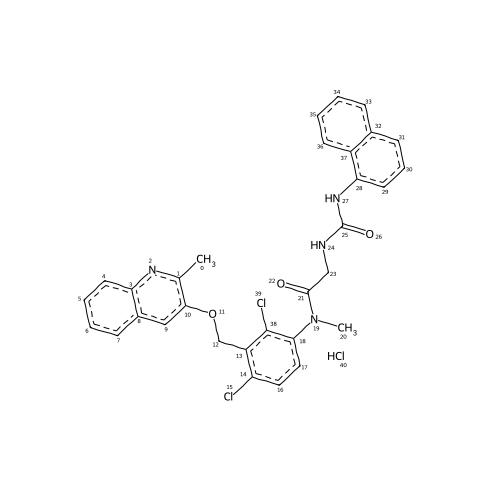 Cc1nc2ccccc2cc1OCc1c(Cl)ccc(N(C)C(=O)CNC(=O)Nc2cccc3ccccc23)c1Cl.Cl